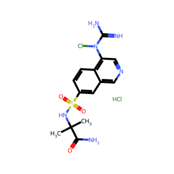 CC(C)(NS(=O)(=O)c1ccc2c(N(Cl)C(=N)N)cncc2c1)C(N)=O.Cl